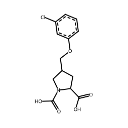 O=C(O)C1CC(COc2cccc(Cl)c2)CN1C(=O)O